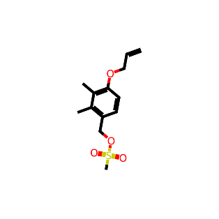 C=CCOc1ccc(COS(C)(=O)=O)c(C)c1C